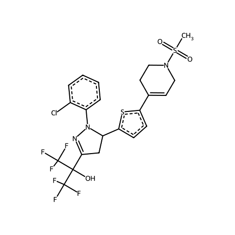 CS(=O)(=O)N1CC=C(c2ccc(C3CC(C(O)(C(F)(F)F)C(F)(F)F)=NN3c3ccccc3Cl)s2)CC1